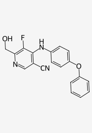 N#Cc1cnc(CO)c(F)c1Nc1ccc(Oc2ccccc2)cc1